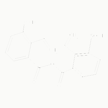 C=Cc1c(C(=O)OC(=O)c2cccc(S(=O)(=O)O)c2C=C)cccc1S(=O)(=O)O